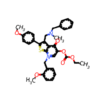 CCOC(=O)Oc1cn(Cc2ccccc2OC)c2sc(-c3ccc(OC)cc3)c(CN(C)Cc3ccccc3)c2c1=O